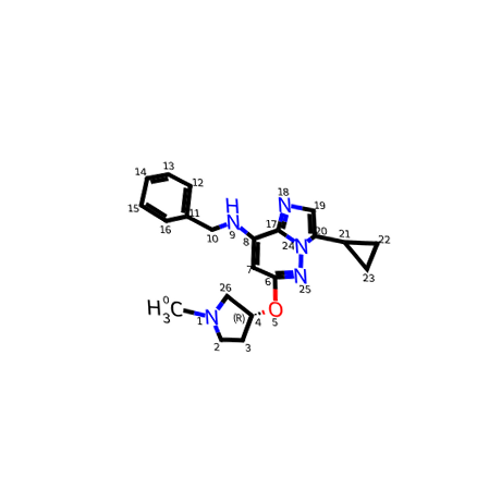 CN1CC[C@@H](Oc2cc(NCc3ccccc3)c3ncc(C4CC4)n3n2)C1